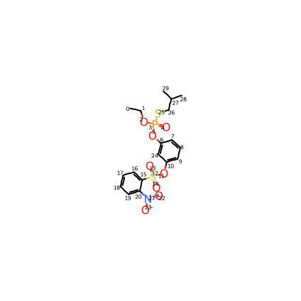 CCOP(=O)(Oc1cccc(OS(=O)(=O)c2ccccc2[N+](=O)[O-])c1)SCC(C)C